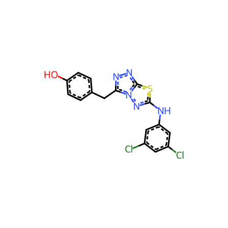 Oc1ccc(Cc2nnc3sc(Nc4cc(Cl)cc(Cl)c4)nn23)cc1